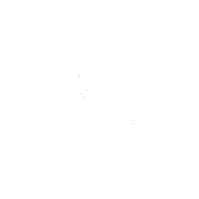 COSC(=S)N(C)C